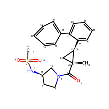 C[C@@]1(C(=O)N2CC[C@@H](NS(C)(=O)=O)C2)C[C@H]1c1ccccc1-c1ccccc1